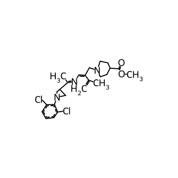 C=C(C)/C(=C\N=C(/C)C1CN(c2c(Cl)cccc2Cl)C1)CN1CCC(C(=O)OC)CC1